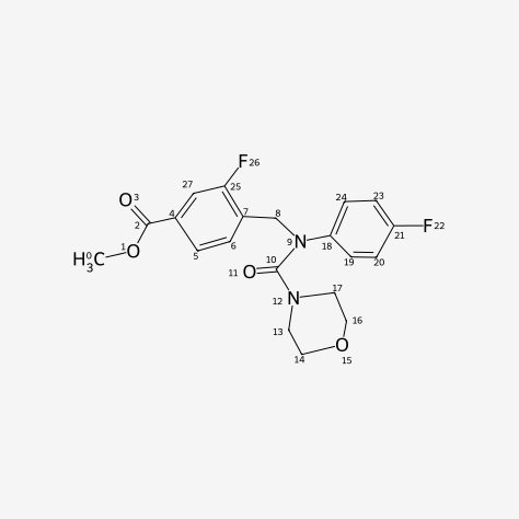 COC(=O)c1ccc(CN(C(=O)N2CCOCC2)c2ccc(F)cc2)c(F)c1